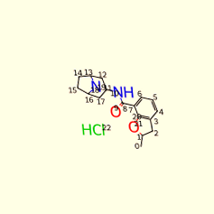 CC1Cc2cccc(C(=O)NC3CC4CCC(C3)N4C)c2O1.Cl